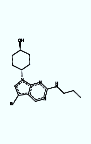 CCCNc1ncc2c(Br)cn([C@H]3CC[C@H](O)CC3)c2n1